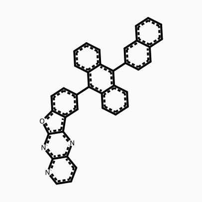 c1ccc2cc(-c3c4ccccc4c(-c4ccc5oc6nc7ncccc7nc6c5c4)c4ccccc34)ccc2c1